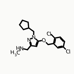 CNCc1cc(OCc2cc(Cl)ccc2Cl)n(CC2CCCC2)n1